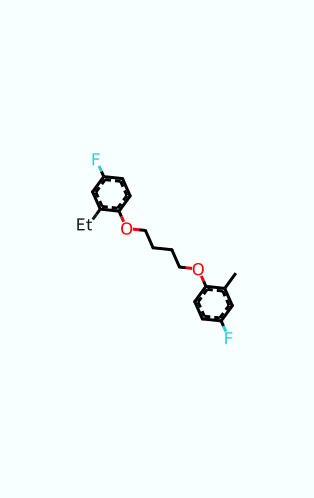 CCc1cc(F)ccc1OCCCCOc1ccc(F)cc1C